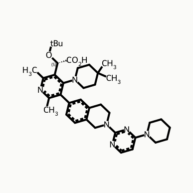 Cc1nc(C)c([C@H](OC(C)(C)C)C(=O)O)c(N2CCC(C)(C)CC2)c1-c1ccc2c(c1)CCN(c1nccc(N3CCCCC3)n1)C2